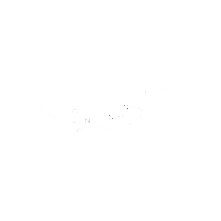 CCc1ccc(-c2csc(N3CCN(S(=O)(=O)c4cc(F)ccc4C)CC3)n2)cc1